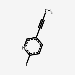 CC#Cc1ccc(I)nc1